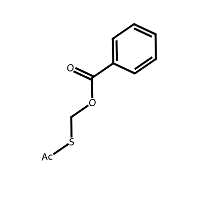 CC(=O)SCOC(=O)c1ccccc1